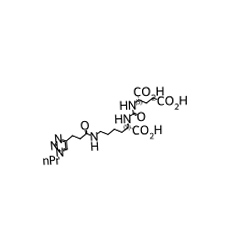 CCCn1cc(CCC(=O)NCCCC[C@H](NC(=O)N[C@@H](CCC(=O)O)C(=O)O)C(=O)O)nn1